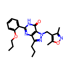 CCCOc1ccccc1-c1nc2c(CCC)nn(Cc3c(C)noc3C)c2c(=O)[nH]1